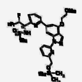 CCCC(F)[C@@H](N[S@+]([O-])C(C)(C)C)c1cccc(-c2cc(OCCOC)c3cnn(-c4cccc(CO[Si](C)(C)C(C)(C)C)n4)c3c2)n1